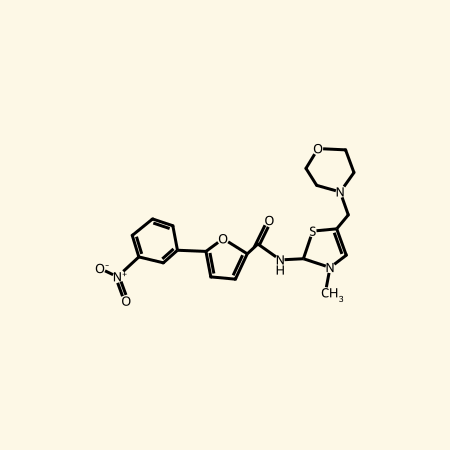 CN1C=C(CN2CCOCC2)SC1NC(=O)c1ccc(-c2cccc([N+](=O)[O-])c2)o1